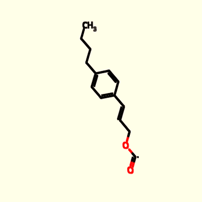 CCCCc1ccc(C=CCO[C]=O)cc1